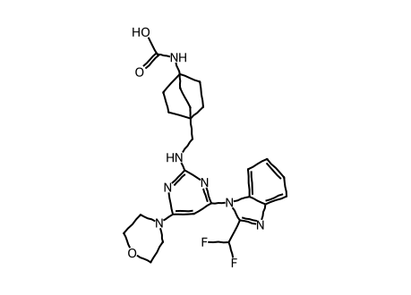 O=C(O)NC12CCC(CNc3nc(N4CCOCC4)cc(-n4c(C(F)F)nc5ccccc54)n3)(CC1)CC2